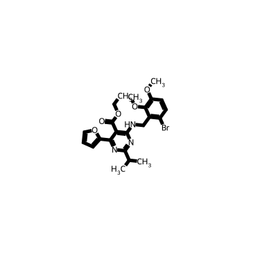 CCOC(=O)c1c(NCc2c(Br)ccc(OC)c2OC)nc(C(C)C)nc1-c1ccco1